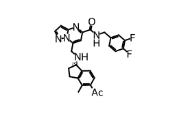 CC(=O)c1ccc2c(c1C)CC[C@@H]2NCc1cc(C(=O)NCc2ccc(F)c(F)c2)nc2ccnn12